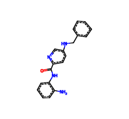 Nc1ccccc1NC(=O)c1ccc(NCc2ccccc2)cn1